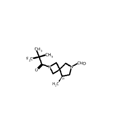 C[C@@H]1CN(C=O)CC12CN(C(=O)C(C)(C)C(F)(F)F)C2